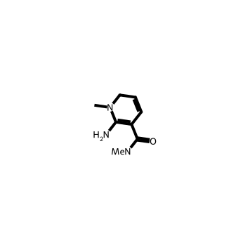 CNC(=O)C1=C(N)N(C)CC=C1